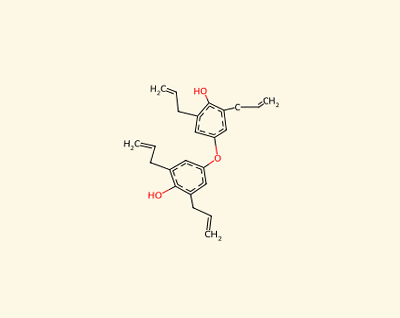 C=CCc1cc(Oc2cc(CC=C)c(O)c(CC=C)c2)cc(CC=C)c1O